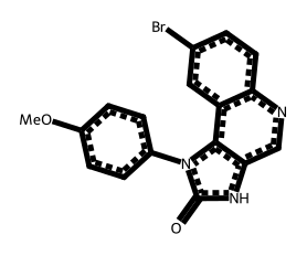 COc1ccc(-n2c(=O)[nH]c3cnc4ccc(Br)cc4c32)cc1